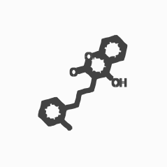 Cc1ccccc1CCCc1c(O)c2ccccc2oc1=O